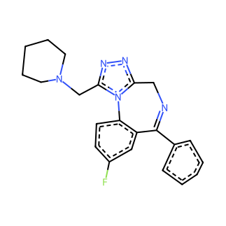 Fc1ccc2c(c1)C(c1ccccc1)=NCc1nnc(CN3CCCCC3)n1-2